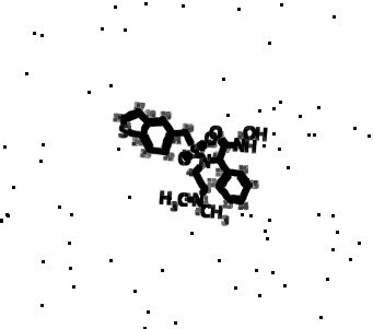 CN(C)CCN(C(C(=O)NO)c1ccccc1)S(=O)(=O)Cc1ccc2sccc2c1